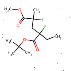 CCC(F)(CC(C)(F)C(=O)OC)C(=O)OC(C)(C)C